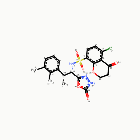 Cc1cccc([C@@H](C)[C@H](NS(=O)(=O)c2ccc(Cl)c3c2OCCC3=O)c2n[nH]c(=O)o2)c1C